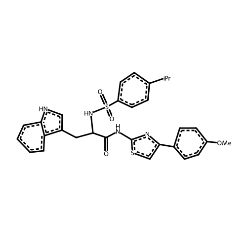 COc1ccc(-c2csc(NC(=O)C(Cc3c[nH]c4ccccc34)NS(=O)(=O)c3ccc(C(C)C)cc3)n2)cc1